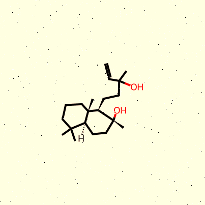 C=CC(C)(O)CC[C@@H]1[C@@]2(C)CCCC(C)(C)[C@@H]2CC[C@@]1(C)O